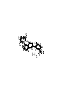 Cc1ccc(C(N)=O)cc1-c1ccc2c(N3C[C@@H](C)NC[C@@H]3C)nncc2c1